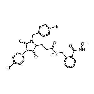 O=C(CCC1C(=O)N(c2ccc(Cl)cc2)C(=O)N1Cc1ccc(Br)cc1)NCc1ccccc1C(=O)NO